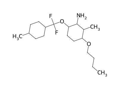 CCCCOC1CCC(OC(F)(F)C2CCC(C)CC2)C(N)C1C